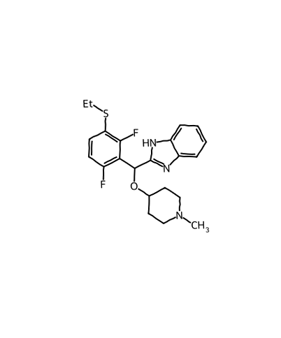 CCSc1ccc(F)c(C(OC2CCN(C)CC2)c2nc3ccccc3[nH]2)c1F